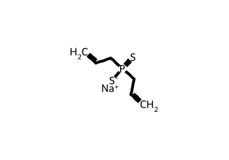 C=CCP(=S)([S-])CC=C.[Na+]